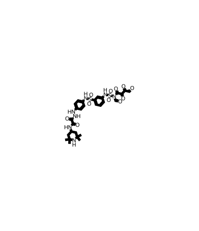 CC1(C)CC(NC(=O)C(=O)NNc2ccc(NS(=O)(=O)c3cccc(NS(=O)(=O)N(C=O)C(=O)C(=O)C(=O)C=O)c3)cc2)CC(C)(C)N1